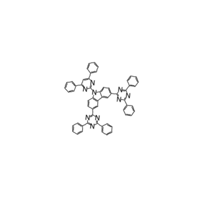 c1ccc(-c2cc(-c3ccccc3)nc(-n3c4ccc(-c5nc(-c6ccccc6)nc(-c6ccccc6)n5)cc4c4cc(-c5nc(-c6ccccc6)nc(-c6ccccc6)n5)ccc43)n2)cc1